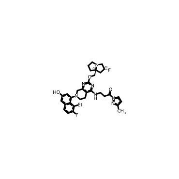 CCc1c(F)ccc2cc(O)cc(N3CCc4c(nc(OC[C@@]56CCCN5C[C@H](F)C6)nc4NCCC(=O)n4ccc(C)n4)C3)c12